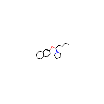 CCCCC(Oc1ccc2c(c1)CCCC2)N1CCCC1